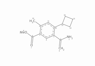 C=C(N)c1cc(C(=O)OC)c(C)cc1C1CCC1